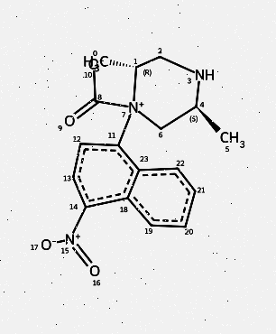 C[C@@H]1CN[C@@H](C)C[N+]1(C(=O)[O-])c1ccc([N+](=O)[O-])c2ccccc12